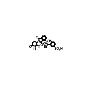 CCC(c1cc(S(=O)(=O)O)ccc1C)S(=O)(=O)c1cccc2c1C(=O)N(C1CCC(=O)NC1=O)C2=O